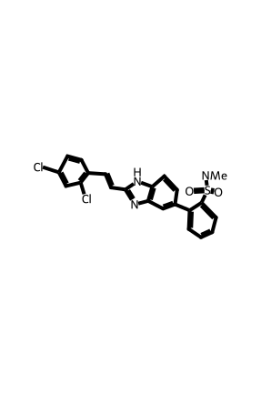 CNS(=O)(=O)c1ccccc1-c1ccc2[nH]c(C=Cc3ccc(Cl)cc3Cl)nc2c1